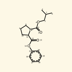 CC(C)COC(=O)N1CCCC1C(=O)Oc1ccccc1